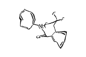 O=C(Nc1c[c]ccc1)c1ccccc1C(F)(F)F